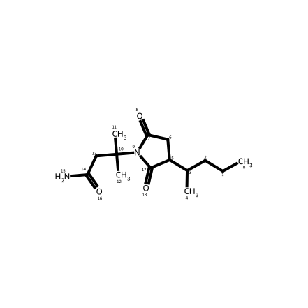 CCCC(C)C1CC(=O)N(C(C)(C)CC(N)=O)C1=O